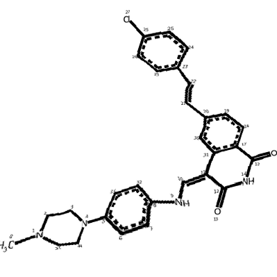 CN1CCN(c2ccc(N/C=C3\C(=O)NC(=O)c4ccc(/C=C/c5ccc(Cl)cc5)cc43)cc2)CC1